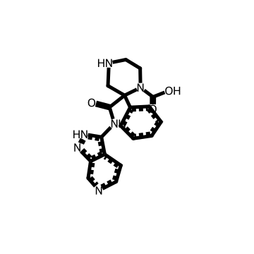 O=C(O)N1CCNCC1(C(=O)Nc1[nH]nc2cnccc12)c1ccccc1